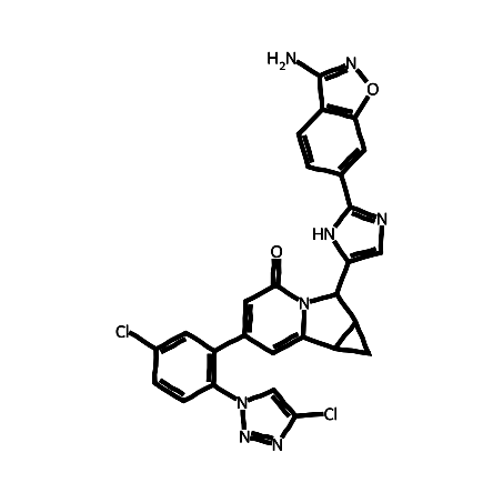 Nc1noc2cc(-c3ncc(C4C5CC5c5cc(-c6cc(Cl)ccc6-n6cc(Cl)nn6)cc(=O)n54)[nH]3)ccc12